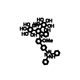 COc1c(-c2ccc(C3=NC(c4ccccc4)NC(c4ccccc4)=N3)cc2)cccc1-n1c2ccccc2c2c(-c3c(O)c(O)c(O)c(O)c3O)cc(-c3c(O)c(O)c(O)c(O)c3O)cc21